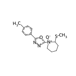 CSC1CCCC[N+]1([O-])c1nnc(-c2ccc(C)cc2)o1